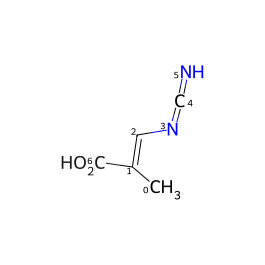 CC(=CN=C=N)C(=O)O